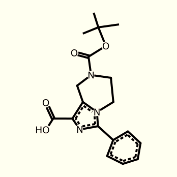 CC(C)(C)OC(=O)N1CCn2c(-c3ccccc3)nc(C(=O)O)c2C1